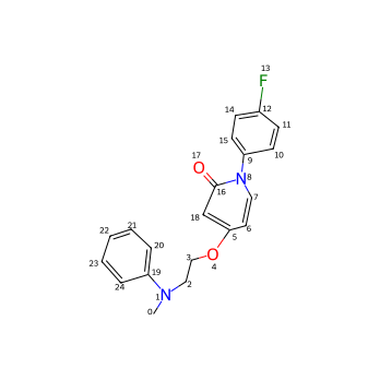 CN(CCOc1ccn(-c2ccc(F)cc2)c(=O)c1)c1ccccc1